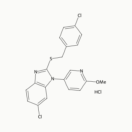 COc1ccc(-n2c(SCc3ccc(Cl)cc3)nc3ccc(Cl)cc32)cn1.Cl